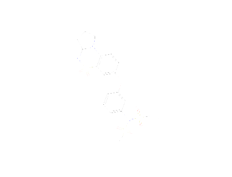 CS(=O)(=O)N(c1cccc(Oc2ccc3c(c2)S(=O)(=O)NC2CCCN32)c1)S(C)(=O)=O